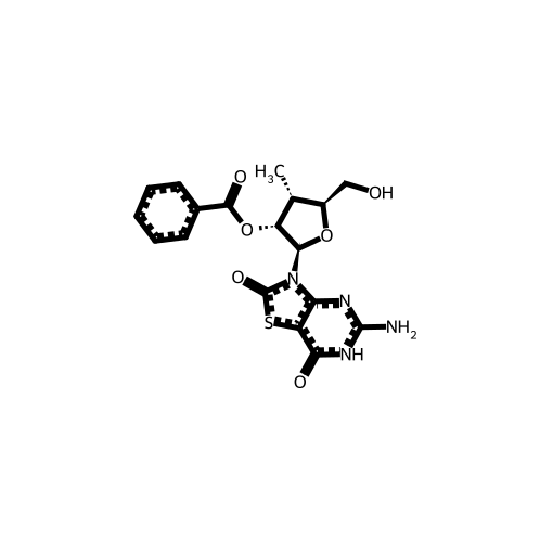 C[C@H]1[C@@H](OC(=O)c2ccccc2)[C@H](n2c(=O)sc3c(=O)[nH]c(N)nc32)O[C@@H]1CO